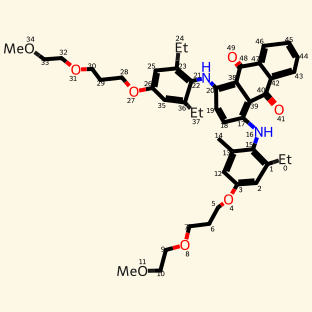 CCc1cc(OCCCOCCOC)cc(C)c1Nc1ccc(Nc2c(CC)cc(OCCCOCCOC)cc2CC)c2c1C(=O)c1ccccc1C2=O